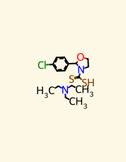 CCN(CC)CC.S=C(S)N1CCOC1c1ccc(Cl)cc1